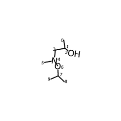 CC(O)CN(C)OC(C)C